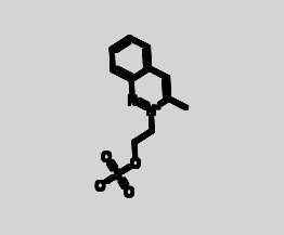 Cc1cc2ccccc2n[n+]1CCOS(=O)(=O)[O-]